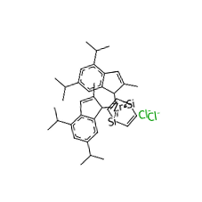 CC1=Cc2c(C(C)C)cc(C(C)C)cc2[CH]1[Zr+2]1([CH]2C(C)=Cc3c(C(C)C)cc(C(C)C)cc32)=[Si]2C=C[Si]=1C=C2.[Cl-].[Cl-]